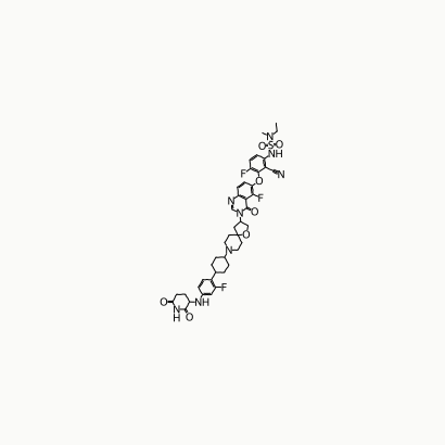 CCN(C)S(=O)(=O)Nc1ccc(F)c(Oc2ccc3ncn(C4COC5(CCN(C6CCC(c7ccc(NC8CCC(=O)NC8=O)cc7F)CC6)CC5)C4)c(=O)c3c2F)c1C#N